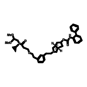 COC(CN(C(=O)CCOCCc1cccc(CCN2C[C@H]3CC(OC(=O)Nc4ccccc4-c4ccccc4)C[C@H]3C2)c1)C1CC1)OC